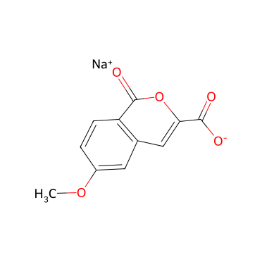 COc1ccc2c(=O)oc(C(=O)[O-])cc2c1.[Na+]